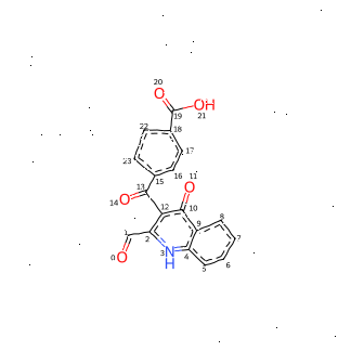 O=Cc1[nH]c2ccccc2c(=O)c1C(=O)c1ccc(C(=O)O)cc1